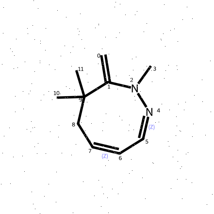 C=C1N(C)/N=C\C=C/CC1(C)C